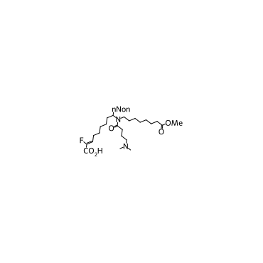 CCCCCCCCCC(CCCCC/C=C(\F)C(=O)O)N(CCCCCCCC(=O)OC)C(=O)CCCN(C)C